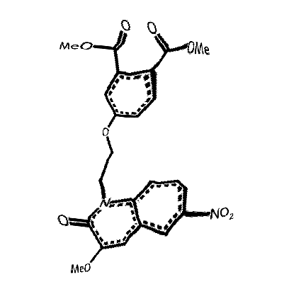 COC(=O)c1ccc(OCCn2c(=O)c(OC)cc3cc([N+](=O)[O-])ccc32)cc1C(=O)OC